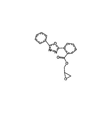 O=C(OCC1CO1)c1ccccc1-c1nnc(-c2ccccc2)o1